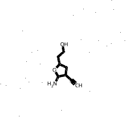 C#CC1CC(CCO)OC1N